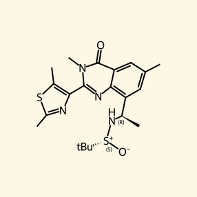 Cc1cc([C@@H](C)N[S@+]([O-])C(C)(C)C)c2nc(-c3nc(C)sc3C)n(C)c(=O)c2c1